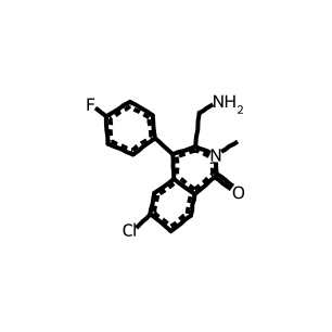 Cn1c(CN)c(-c2ccc(F)cc2)c2cc(Cl)ccc2c1=O